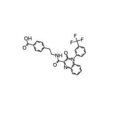 O=C(O)c1ccc(CCNC(=O)c2nc3ccccc3n(-c3cccc(C(F)(F)F)c3)c2=O)cc1